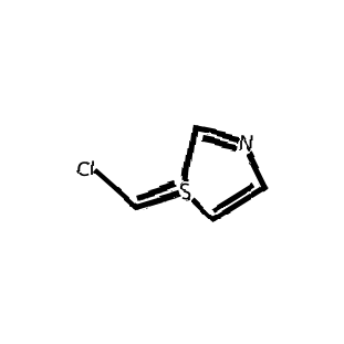 ClC=S1C=CN=C1